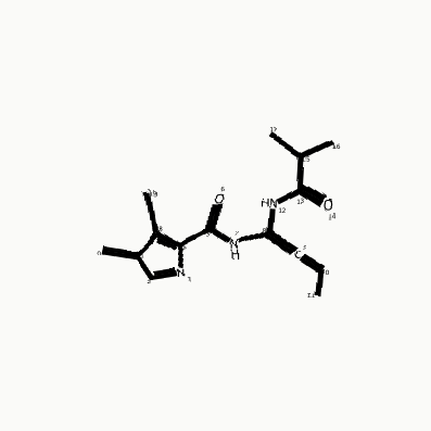 C=C1C=NC(C(=O)NC(=C=CC)NC(=O)C(C)C)=C1C